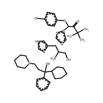 CC(C)(C)C(=O)C(Oc1ccc(Cl)cc1)n1cncn1.NC(CO)Cc1c[nH]cn1.OC(CCN1CCCCC1)(c1ccccc1)C1CCCCC1